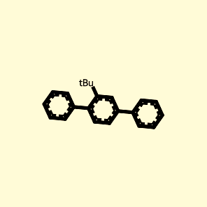 CC(C)(C)c1cc(-c2ccccc2)ccc1-c1ccccc1